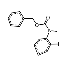 CN(C(=O)OCc1ccccc1)c1ccccc1I